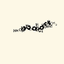 C=CC(=O)N1CC(Oc2cc3c(Nc4ccc(Oc5ccnc(-c6cnc(OC)nc6)c5)cc4F)ncnc3cc2OC)C1